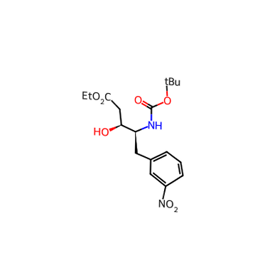 CCOC(=O)C[C@H](O)[C@H](Cc1cccc([N+](=O)[O-])c1)NC(=O)OC(C)(C)C